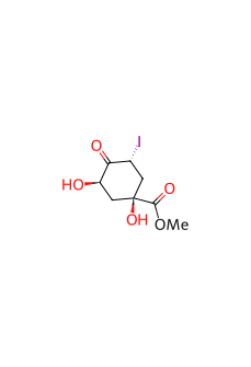 COC(=O)[C@]1(O)C[C@@H](O)C(=O)[C@H](I)C1